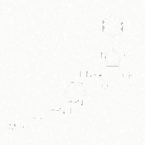 COCCCNc1ccc(NC(=O)c2nc(-c3ccccc3)oc2C(F)(F)F)cn1